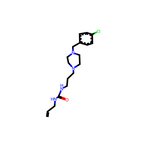 C=CCNC(=O)NCCCN1CCN(Cc2ccc(Cl)cc2)CC1